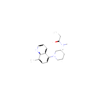 CCc1ccc(N2C[C@@H](C)C[C@@H](N(C)C(=O)CC(C)C)C2)c2cccnc12